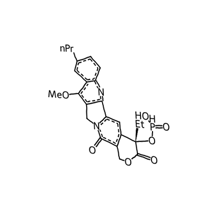 CCCc1ccc2nc3c(c(OC)c2c1)Cn1c-3cc2c(c1=O)COC(=O)[C@@]2(CC)O[PH](=O)O